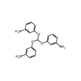 Nc1cccc(OB(Oc2cccc(N)c2)Oc2cccc(N)c2)c1